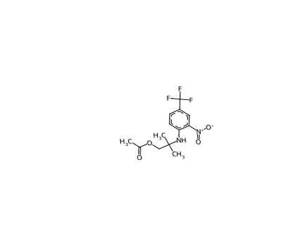 CC(=O)OCC(C)(C)Nc1ccc(C(F)(F)F)cc1[N+](=O)[O-]